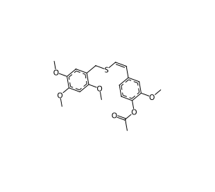 COc1cc(OC)c(OC)cc1CS/C=C\c1ccc(OC(C)=O)c(OC)c1